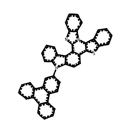 c1ccc2c(c1)nc1c3c(ccc4c3c3ccccc3n4-c3ccc4c5ccccc5c5ccccc5c4c3)c3sc4ccccc4c3n21